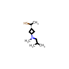 CC(C)CN(C)[C@H]1C[C@H](C(C)S)C1